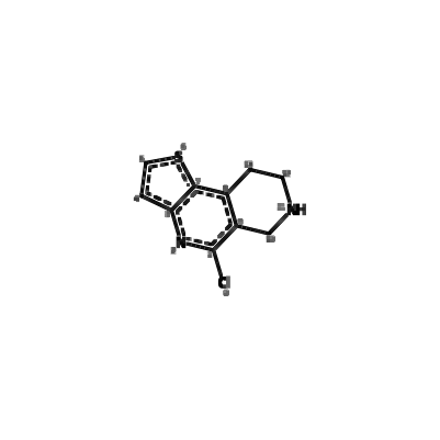 Clc1nc2ccsc2c2c1CNCC2